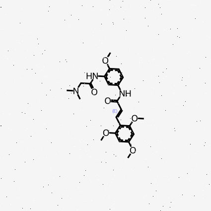 COc1cc(OC)c(/C=C/C(=O)Nc2ccc(OC)c(NC(=O)CN(C)C)c2)c(OC)c1